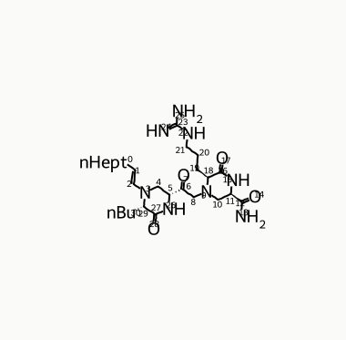 CCCCCCCC=CN1C[C@H](C(=O)CN2C[C@H](C(N)=O)NC(=O)[C@@H]2CCCNC(=N)N)NC(=O)[C@@H]1CCCC